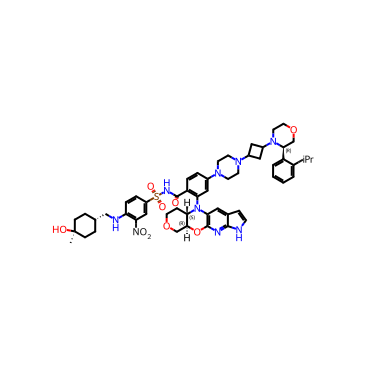 CC(C)c1ccccc1[C@@H]1COCCN1C1CC(N2CCN(c3ccc(C(=O)NS(=O)(=O)c4ccc(NC[C@H]5CC[C@](C)(O)CC5)c([N+](=O)[O-])c4)c(N4c5cc6cc[nH]c6nc5O[C@H]5COCC[C@@H]54)c3)CC2)C1